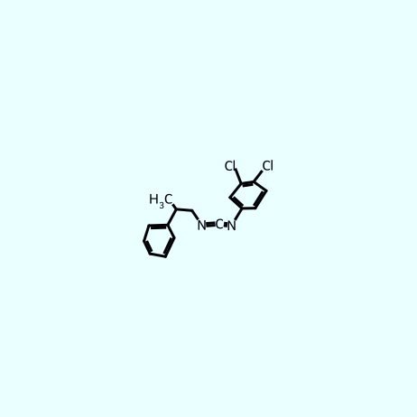 CC(CN=C=Nc1ccc(Cl)c(Cl)c1)c1ccccc1